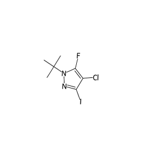 CC(C)(C)n1nc(I)c(Cl)c1F